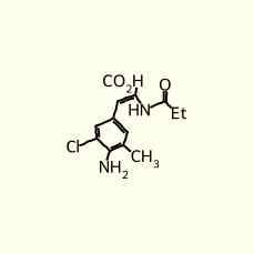 CCC(=O)NC(=Cc1cc(C)c(N)c(Cl)c1)C(=O)O